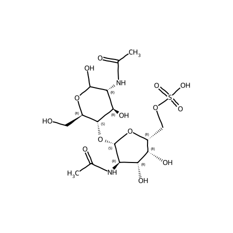 CC(=O)N[C@H]1[C@H](O[C@H]2[C@H](O)[C@@H](NC(C)=O)C(O)O[C@@H]2CO)O[C@H](COS(=O)(=O)O)[C@H](O)[C@@H]1O